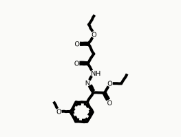 CCOC(=O)CC(=O)NN=C(C(=O)OCC)c1cccc(OC)c1